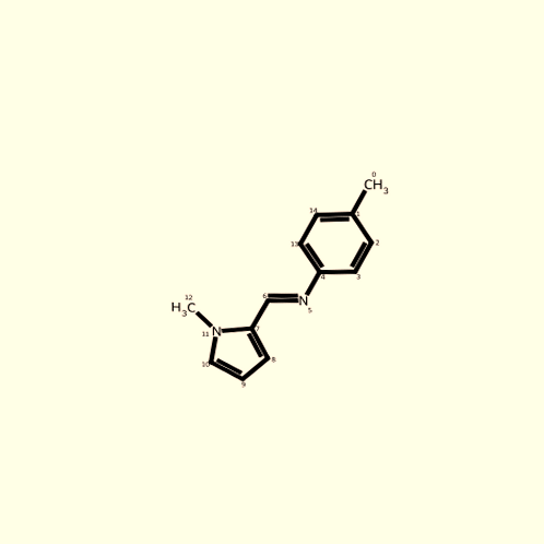 Cc1ccc(/N=C/c2cccn2C)cc1